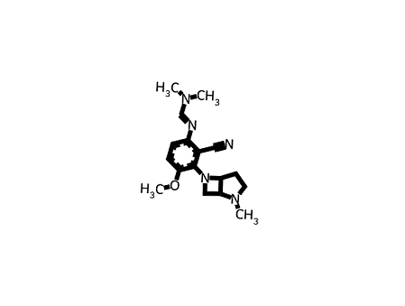 COc1ccc(/N=C/N(C)C)c(C#N)c1N1CC2C1CCN2C